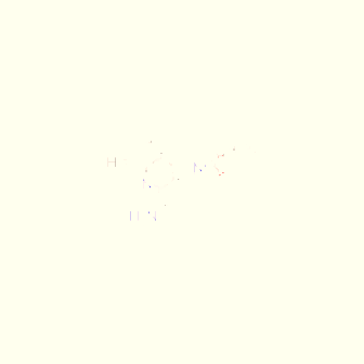 Cc1nc(CN)c2c(c1C)CN(C(=O)OC(C)(C)C)C2